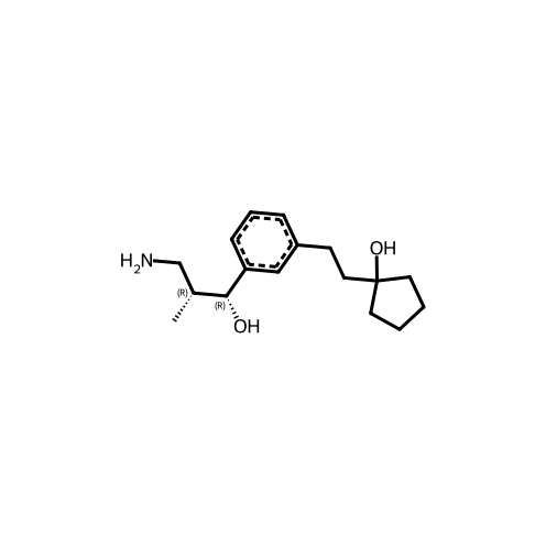 C[C@H](CN)[C@@H](O)c1cccc(CCC2(O)CCCC2)c1